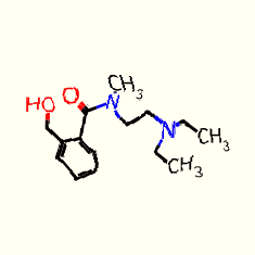 CCN(CC)CCN(C)C(=O)c1ccccc1CO